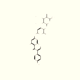 CCC1OC(Oc2cc(O)c3c(=O)c(-c4ccc(O)cc4)coc3c2)C=CC1OC1OC(CC)C(C)C(OC(C)=O)C1OC(C)=O